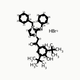 Br.CC(C)(C)c1cc(C(=O)Cn2ccn(Cc3ccccc3)/c2=N\c2ccccc2)cc(C(C)(C)C)c1O